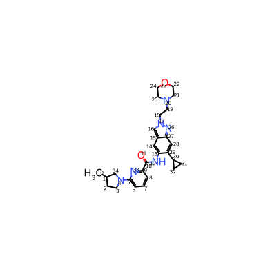 CC1CCN(c2cccc(C(=O)Nc3cc4cn(CCN5CCOCC5)nc4cc3C3CC3)n2)C1